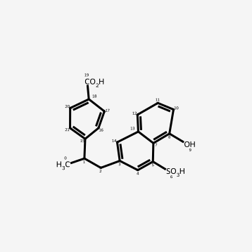 CC(Cc1cc(S(=O)(=O)O)c2c(O)cccc2c1)c1ccc(C(=O)O)cc1